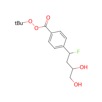 CC(C)(C)OOC(=O)c1ccc(C(F)CC(O)CO)cc1